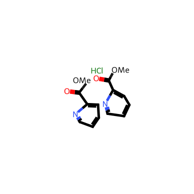 COC(=O)c1ccccn1.COC(=O)c1ccccn1.Cl